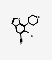 Cl.N#Cc1cc2ccoc2c(N2CCNCC2)c1F